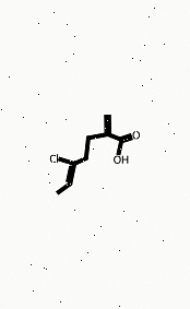 C=C(CCC(Cl)=CC)C(=O)O